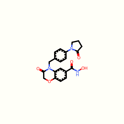 O=C(NO)c1ccc2c(c1)N(Cc1ccc(N3CCCC3=O)cc1)C(=O)CO2